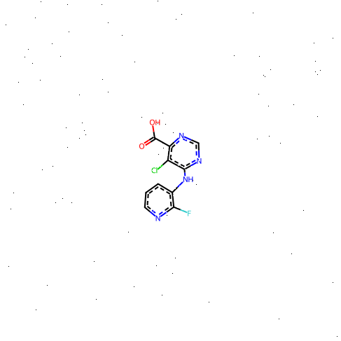 O=C(O)c1ncnc(Nc2cccnc2F)c1Cl